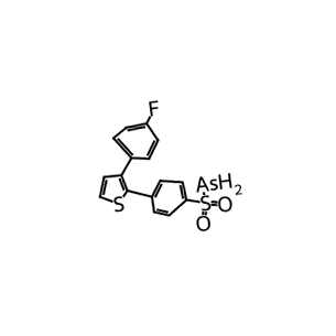 O=S(=O)([AsH2])c1ccc(-c2sccc2-c2ccc(F)cc2)cc1